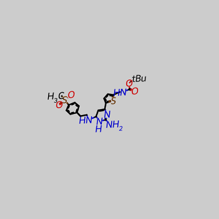 CC(C)(C)OC(=O)NCc1ccc(C2=CC(NCCc3ccc(S(C)(=O)=O)cc3)NC(N)=N2)s1